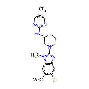 COc1cc2c(cc1Br)nc(N1CCCC(Nc3ncc(C(F)(F)F)cn3)C1)n2C